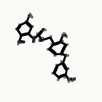 COc1ccc(C(F)(F)F)cc1NC(=O)NCc1ccc(Oc2ccnc(C(=O)O)c2)cc1C